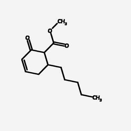 CCCCCC1CC=CC(=O)C1C(=O)OC